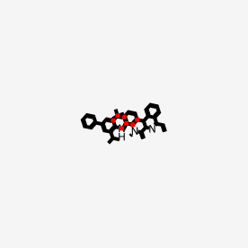 C=CC1=NC(C(=C)N(C)c2ccccc2Nc2c(C(C)C)cc(-c3ccccc3)cc2C(C)C)C(CCC(=C)/C=C\C)c2ccccc21